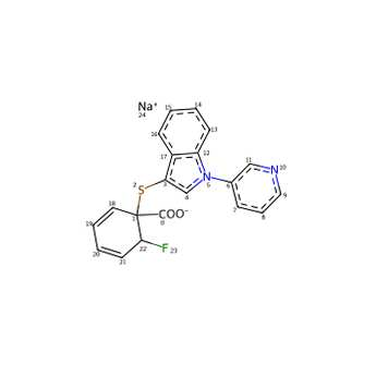 O=C([O-])C1(Sc2cn(-c3cccnc3)c3ccccc23)C=CC=CC1F.[Na+]